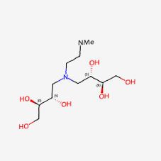 CNCCN(C[C@H](O)[C@H](O)CO)C[C@H](O)[C@H](O)CO